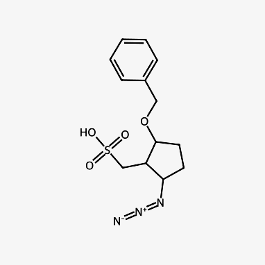 [N-]=[N+]=NC1CCC(OCc2ccccc2)C1CS(=O)(=O)O